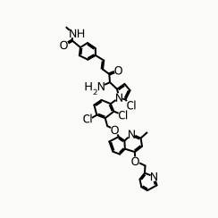 CNC(=O)c1ccc(/C=C/C(=O)C(N)c2ccc(Cl)n2-c2ccc(Cl)c(COc3cccc4c(OCc5ccccn5)cc(C)nc34)c2Cl)cc1